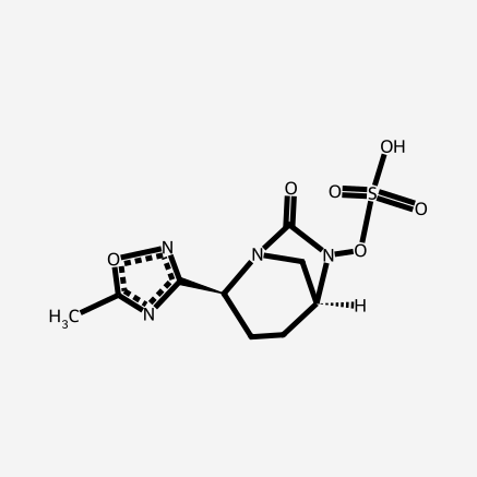 Cc1nc([C@@H]2CC[C@H]3CN2C(=O)N3OS(=O)(=O)O)no1